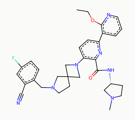 CCOc1ncccc1-c1ccc(N2CC3(CCN(Cc4ccc(F)cc4C#N)C3)C2)c(C(=O)N[C@@H]2CCN(C)C2)n1